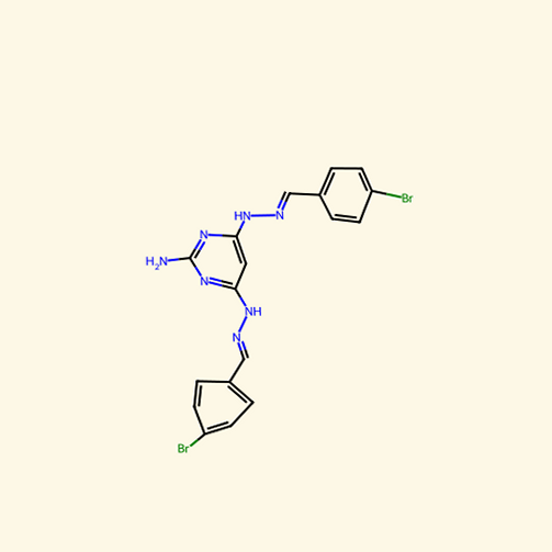 Nc1nc(NN=Cc2ccc(Br)cc2)cc(NN=Cc2ccc(Br)cc2)n1